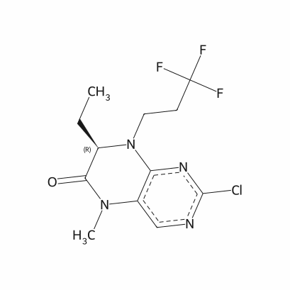 CC[C@@H]1C(=O)N(C)c2cnc(Cl)nc2N1CCC(F)(F)F